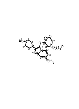 CC(=O)N1CCC(c2nc3cc(C)ccn3c2CC2CN(C(=O)O)CCO2)CC1